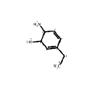 CCC1=CC(O)C(N)C=C1